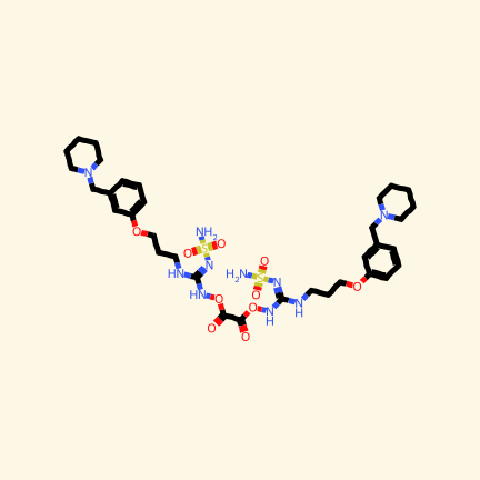 NS(=O)(=O)N=C(NCCCOc1cccc(CN2CCCCC2)c1)NOC(=O)C(=O)ONC(=NS(N)(=O)=O)NCCCOc1cccc(CN2CCCCC2)c1